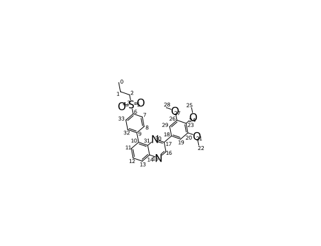 CCCS(=O)(=O)c1ccc(-c2cccc3ncc(-c4cc(OC)c(OC)c(OC)c4)nc23)cc1